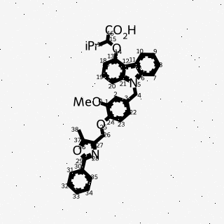 COc1cc(Cn2c3ccccc3c3c(OC(C(=O)O)C(C)C)cccc32)ccc1OCc1nc(-c2ccccc2)oc1C